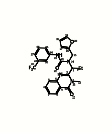 CCC(c1nc2ccccc2c(=O)n1C)N(Cc1ccco1)C(=O)Nc1cccc(C(F)(F)F)c1